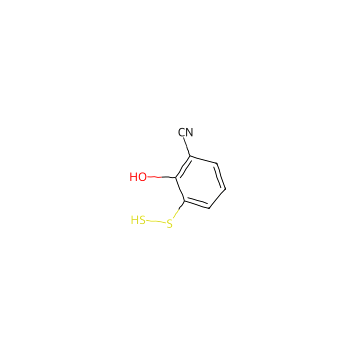 N#Cc1cccc(SS)c1O